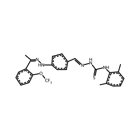 CC(=NNc1ccc(C=NNC(=S)Nc2c(C)cccc2C)cc1)c1ccccc1OC(F)(F)F